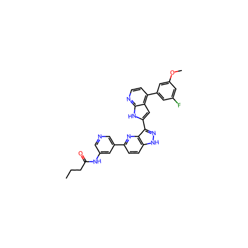 CCCC(=O)Nc1cncc(-c2ccc3[nH]nc(-c4cc5c(-c6cc(F)cc(OC)c6)ccnc5[nH]4)c3n2)c1